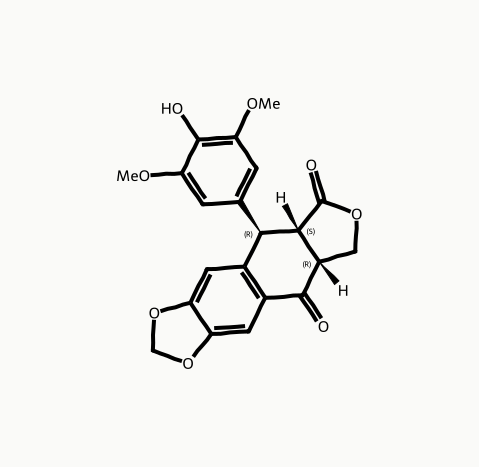 COc1cc([C@@H]2c3cc4c(cc3C(=O)[C@H]3COC(=O)[C@@H]23)OCO4)cc(OC)c1O